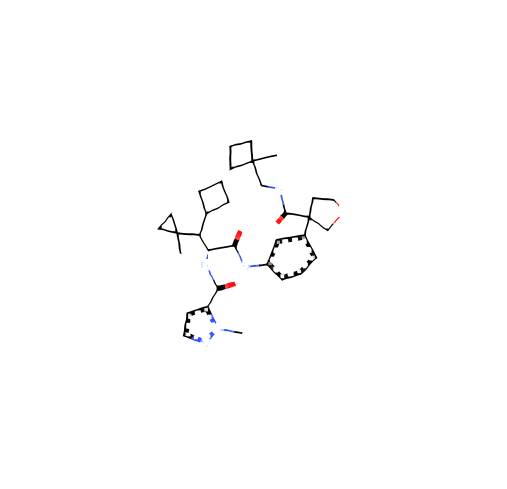 Cn1nccc1C(=O)N[C@H](C(=O)Nc1cccc(C2(C(=O)NCC3(C)CCC3)CCOC2)c1)C(C1CCC1)C1(C)CC1